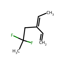 C=C/C(=C\C)CC(C)(F)F